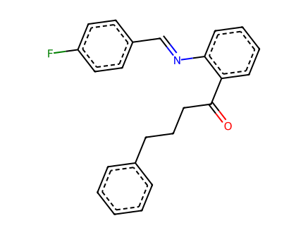 O=C(CCCc1ccccc1)c1ccccc1/N=C/c1ccc(F)cc1